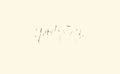 O=C1OCCN1c1ccc(N2CCCC(OC(=O)N3C4CCC3CC(O)C4)C2)c(F)c1